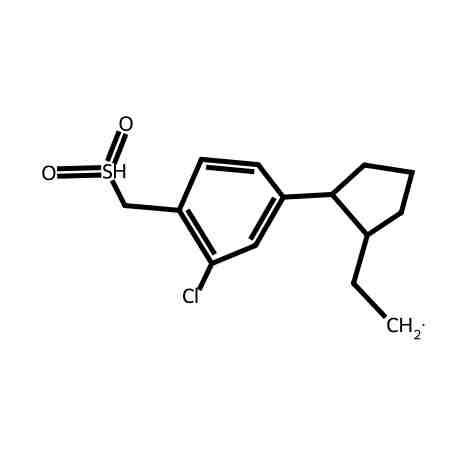 [CH2]CC1CCCC1c1ccc(C[SH](=O)=O)c(Cl)c1